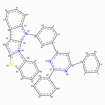 c1ccc(-c2cc(-c3cccc(-n4c5ccccc5c5cc6sc7ccccc7n6c54)c3)nc(-c3ccccc3)n2)cc1